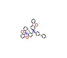 c1ccc(-c2ccc(N(c3ccc4c(c3)oc3ccccc34)c3ccc4c5c3c3cccc6c3n5-c3c(cccc3O4)O6)cc2)cc1